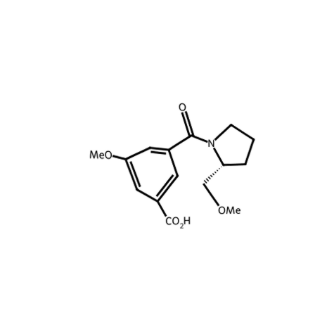 COC[C@H]1CCCN1C(=O)c1cc(OC)cc(C(=O)O)c1